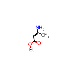 CCOC(=O)/C=C(/N)C(F)(F)F